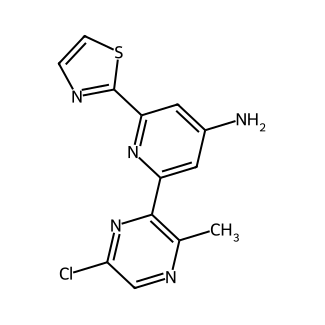 Cc1ncc(Cl)nc1-c1cc(N)cc(-c2nccs2)n1